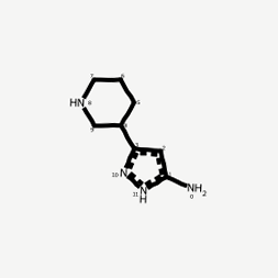 Nc1cc(C2CCCNC2)n[nH]1